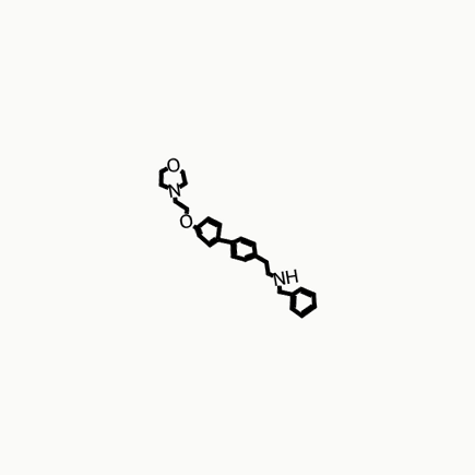 c1ccc(CNCCc2ccc(-c3ccc(OCCN4CCOCC4)cc3)cc2)cc1